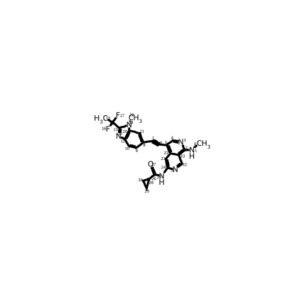 CNc1ncc(C#Cc2ccc3nc(C(C)(F)F)n(C)c3c2)c2cc(NC(=O)C3CC3)ncc12